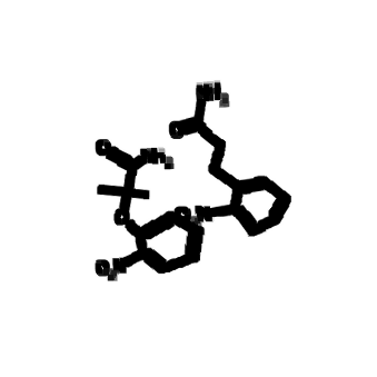 CC(C)(Oc1ccccc1[N+](=O)[O-])C(N)=O.NC(=O)CCc1ccccc1[N+](=O)[O-]